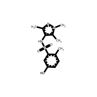 Cc1ccc(C(C)(C)C)cc1S(=O)(=O)Nc1c(C)nn(C)c1C